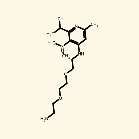 Cc1cc(NCCOCCOCCN)c([SH](C)C)c(C(C)C)n1